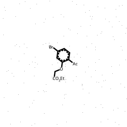 CCOC(=O)COc1cc(Br)ccc1C(C)=O